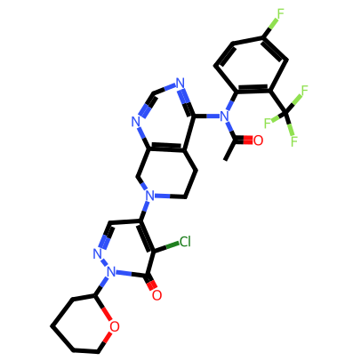 CC(=O)N(c1ccc(F)cc1C(F)(F)F)c1ncnc2c1CCN(c1cnn(C3CCCCO3)c(=O)c1Cl)C2